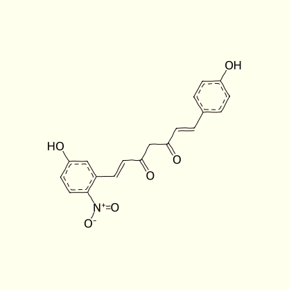 O=C(C=Cc1ccc(O)cc1)CC(=O)C=Cc1cc(O)ccc1[N+](=O)[O-]